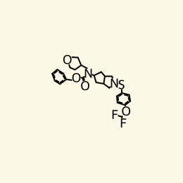 O=C(OCc1ccccc1)N(CC1CCOCC1)C1CC2CN(Sc3ccc(OC(F)F)cc3)CC2C1